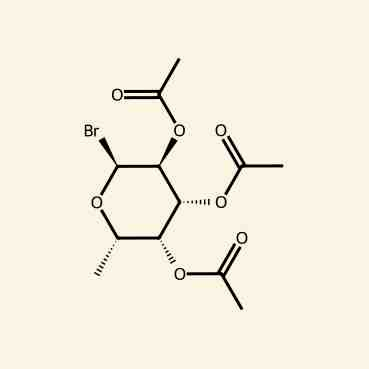 CC(=O)O[C@@H]1[C@H](OC(C)=O)[C@H](C)O[C@@H](Br)[C@H]1OC(C)=O